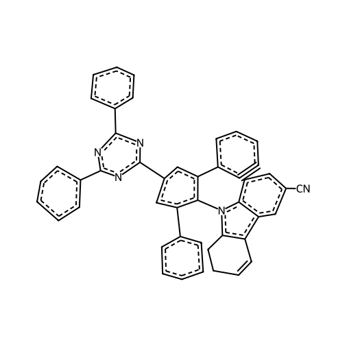 N#Cc1ccc2c(c1)c1c(n2-c2c(-c3c#cccc3)cc(-c3nc(-c4ccccc4)nc(-c4ccccc4)n3)cc2-c2ccccc2)CCC=C1